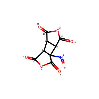 O=NC12C(=O)OC(=O)C1C1C(=O)OC(=O)C12